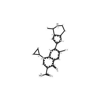 CC1NCCc2sc(-c3nc4c(cc3F)c(=O)c(C(=O)O)cn4C3CC3)cc21